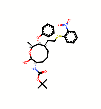 C[C@@H]1OC(O)[C@@H](NC(=O)OC(C)(C)C)CCC[C@H](CCSc2ccccc2[N+](=O)[O-])[C@H]1Oc1ccccc1